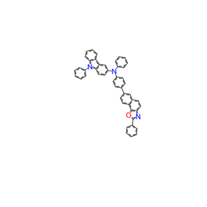 c1ccc(-c2nc3ccc4cc(-c5ccc(N(c6ccccc6)c6ccc7c(c6)c6ccccc6n7-c6ccccc6)cc5)ccc4c3o2)cc1